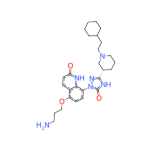 NCCCOc1ccc(-n2nc([C@H]3CCCN(CCC4CCCCC4)C3)[nH]c2=O)c2[nH]c(=O)ccc12